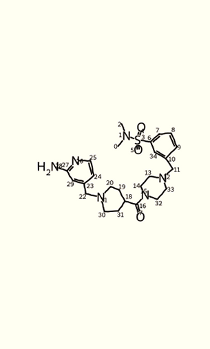 CN(C)S(=O)(=O)c1cccc(CN2CCN(C(=O)C3CCN(Cc4ccnc(N)c4)CC3)CC2)c1